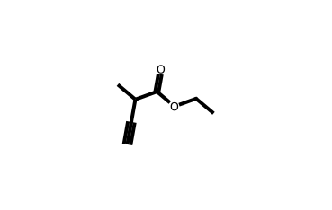 C#CC(C)C(=O)OCC